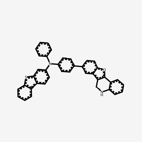 c1ccc(N(c2ccc(-c3ccc4oc5c(c4c3)CNc3ccccc3-5)cc2)c2ccc3c(c2)sc2ccccc23)cc1